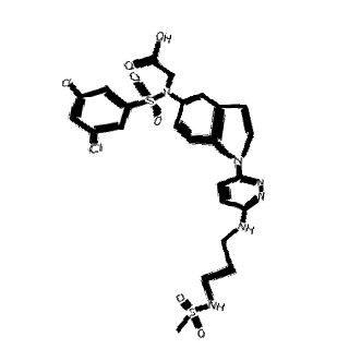 CS(=O)(=O)NCCCNc1ccc(-n2ccc3cc(N(CC(=O)O)S(=O)(=O)c4cc(Cl)cc(Cl)c4)ccc32)nn1